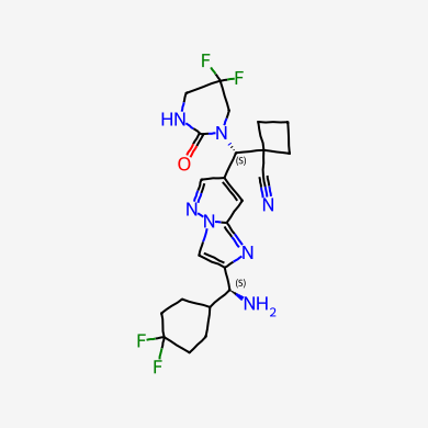 N#CC1([C@H](c2cnn3cc([C@@H](N)C4CCC(F)(F)CC4)nc3c2)N2CC(F)(F)CNC2=O)CCC1